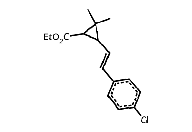 CCOC(=O)C1C(C=Cc2ccc(Cl)cc2)C1(C)C